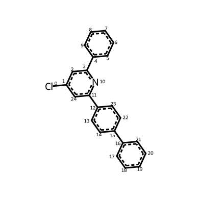 Clc1cc(-c2ccccc2)nc(-c2ccc(-c3ccccc3)cc2)c1